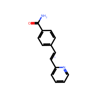 NC(=O)c1ccc(/C=C/c2ccccn2)cc1